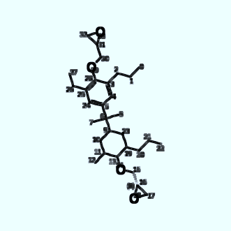 CCCc1cc(C(C)(C)C2CC(C)C(OC[C@@H]3CO3)C(CCC)C2)cc(CC)c1OCC1CO1